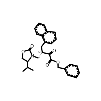 CC(C)C1COC(=O)N1C[C@H](Cc1cccc2ccccc12)C(=O)C(=O)OCc1ccccc1